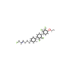 CCOc1ccc(-c2ccc(-c3ccc(CCC/C=C/CF)cc3)c(F)c2F)c(F)c1F